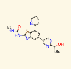 CCNC(=O)Nc1nc2cc(-c3cnc(C(O)C(C)(C)C)nc3)cc(-c3ccccn3)c2s1